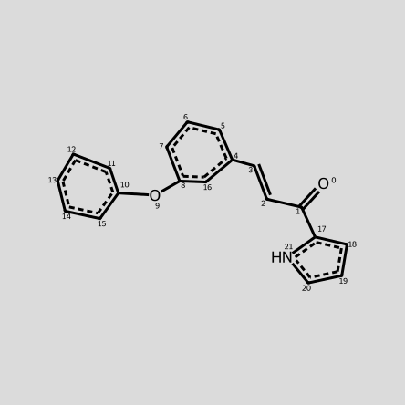 O=C(C=Cc1cccc(Oc2ccccc2)c1)c1ccc[nH]1